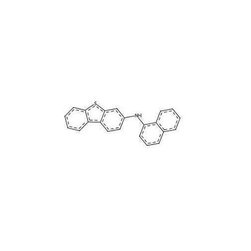 c1ccc2c(Nc3ccc4c(c3)sc3ccccc34)cccc2c1